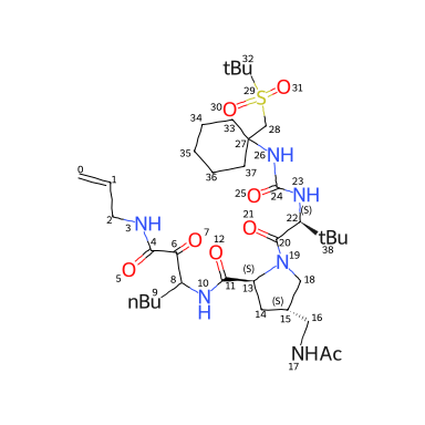 C=CCNC(=O)C(=O)C(CCCC)NC(=O)[C@@H]1C[C@@H](CNC(C)=O)CN1C(=O)[C@@H](NC(=O)NC1(CS(=O)(=O)C(C)(C)C)CCCCC1)C(C)(C)C